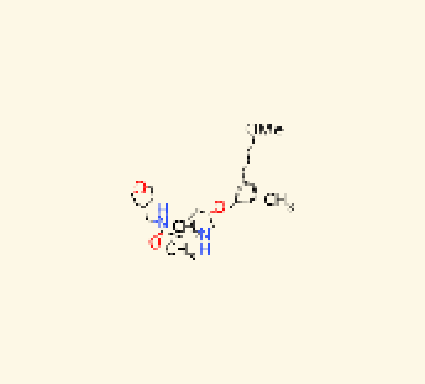 COCCCCc1cc(C)cc(CO[C@@H]2CC[C@@H](CC(C)(C)C(=O)NCC3CCOCC3)NC2)c1